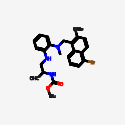 COc1ccc2c(Br)cccc2c1CN(C)c1ccccc1NCC(C=O)NC(=O)OC(C)(C)C